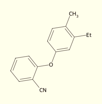 CCc1cc(Oc2ccccc2C#N)ccc1C